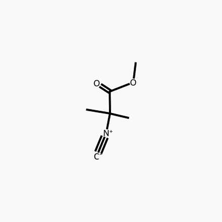 [C-]#[N+]C(C)(C)C(=O)OC